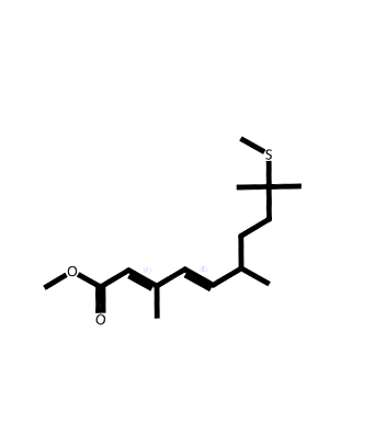 COC(=O)/C=C(C)/C=C/C(C)CCC(C)(C)SC